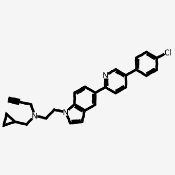 C#CCN(CCn1ccc2cc(-c3ccc(-c4ccc(Cl)cc4)cn3)ccc21)CC1CC1